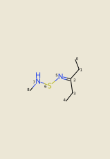 CCC(CC)=NSNC